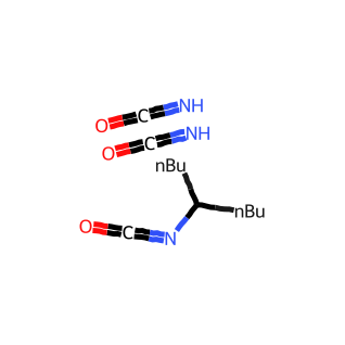 CCCCC(CCCC)N=C=O.N=C=O.N=C=O